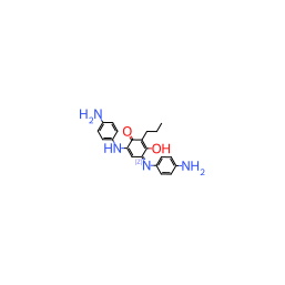 CCCC1=C(O)/C(=N\c2ccc(N)cc2)C=C(Nc2ccc(N)cc2)C1=O